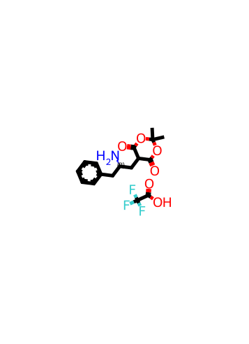 CC1(C)OC(=O)C(C[C@@H](N)Cc2ccccc2)C(=O)O1.O=C(O)C(F)(F)F